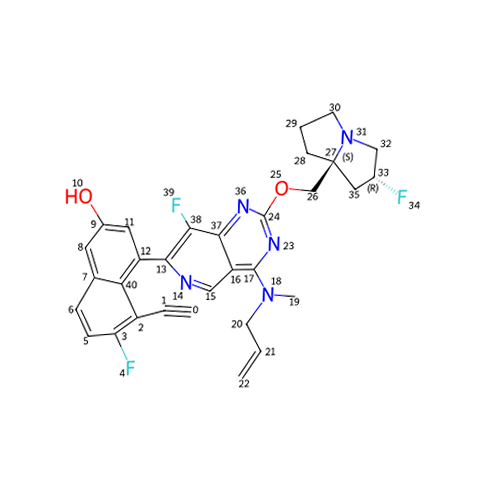 C#Cc1c(F)ccc2cc(O)cc(-c3ncc4c(N(C)CC=C)nc(OC[C@@]56CCCN5C[C@H](F)C6)nc4c3F)c12